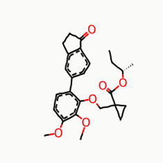 CC[C@H](C)OC(=O)C1(COc2c(-c3ccc4c(c3)CCC4=O)ccc(OC)c2OC)CC1